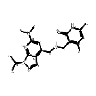 Cc1cc(C)c(CNCc2cc(N(C)C)nc3c2cnn3C(C)C)c(=O)[nH]1